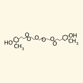 Cc1cc(CCC(=O)OCCOCCOCCOC(=O)CCc2ccc(O)c(C)c2)ccc1O